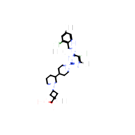 Cc1ccc([C@@H](C)Nc2nc(N3CCC(C4CCCN(C5CC(C)(C(=O)O)C5)C4)CC3)nc(C)c2Cl)c(Cl)c1